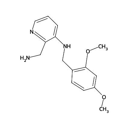 COc1ccc(CNc2cccnc2CN)c(OC)c1